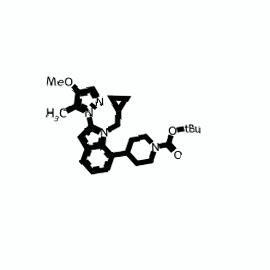 COc1cnn(-c2cc3cccc(C4CCN(C(=O)OC(C)(C)C)CC4)c3n2CC2CC2)c1C